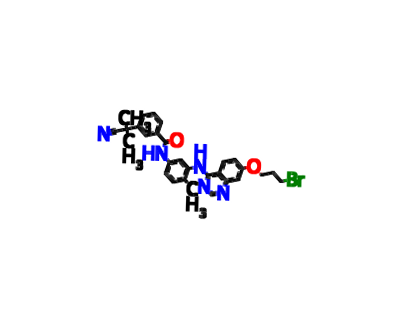 Cc1ccc(NC(=O)c2cccc(C(C)(C)C#N)c2)cc1Nc1ncnc2cc(OCCCBr)ccc12